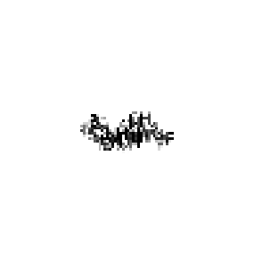 CN1CC(CNCC(F)F)Cn2nc3c(c2C1=O)CN(C(=O)Nc1cc(Br)c(F)cc1F)CC3